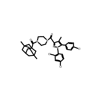 Cc1c(C(=O)N2CCN(C(=O)C34CC5CC(C)(CC(C)(C5)C3)C4)CC2)nn(-c2ccc(Cl)cc2Cl)c1-c1ccc(Cl)cc1